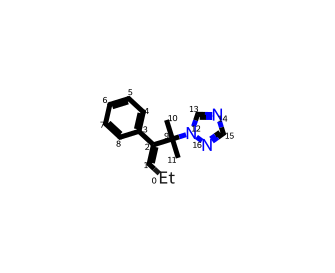 CCC=C(c1ccccc1)C(C)(C)n1cncn1